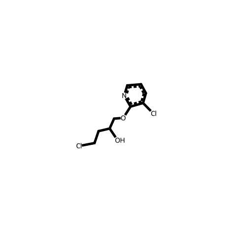 OC(CCCl)COc1ncccc1Cl